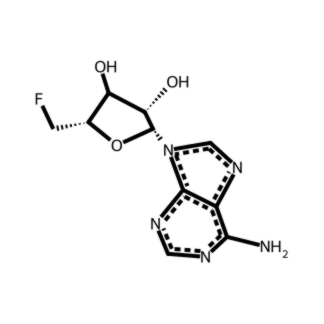 Nc1ncnc2c1ncn2[C@@H]1O[C@H](CF)C(O)[C@@H]1O